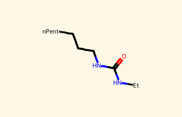 CCCCCCCCNC(=O)NCC